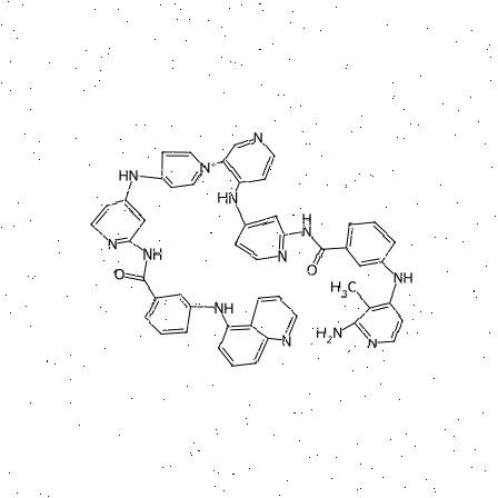 Cc1c(Nc2cccc(C(=O)Nc3cc(Nc4ccncc4-[n+]4ccc(Nc5ccnc(NC(=O)c6cccc(Nc7cccc8ncccc78)c6)c5)cc4)ccn3)c2)ccnc1N